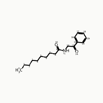 CCCCCCCCCC(=O)NCC(=O)c1ccccc1